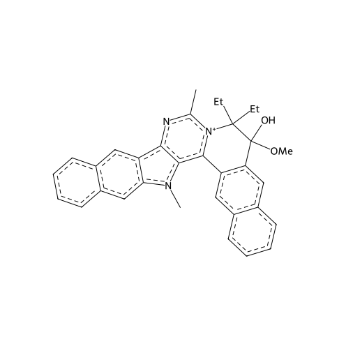 CCC1(CC)[n+]2c(C)nc3c4cc5ccccc5cc4n(C)c3c2-c2cc3ccccc3cc2C1(O)OC